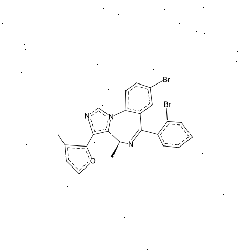 Cc1ccoc1-c1ncn2c1[C@H](C)N=C(c1ccccc1Br)c1cc(Br)ccc1-2